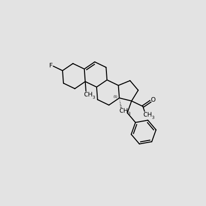 CC(=O)C1(Cc2ccccc2)CCC2C3CC=C4CC(F)CCC4(C)C3CC[C@@]21C